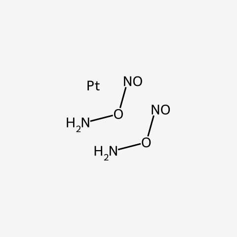 NON=O.NON=O.[Pt]